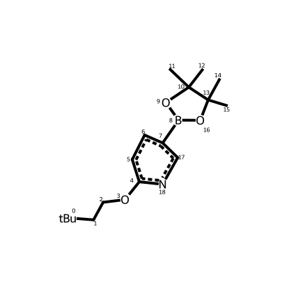 CC(C)(C)CCOc1ccc(B2OC(C)(C)C(C)(C)O2)cn1